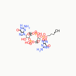 C#CCCCCOP(=O)(O)O[C@H]1C2OP(=O)(O)OC[C@H]3O[C@@H](n4cnc5c(=O)[nH]c(N)nc54)[C@@H](O)C3OP(=O)(O)OC[C@H]2O[C@H]1n1cnc2c(=O)[nH]c(N)nc21